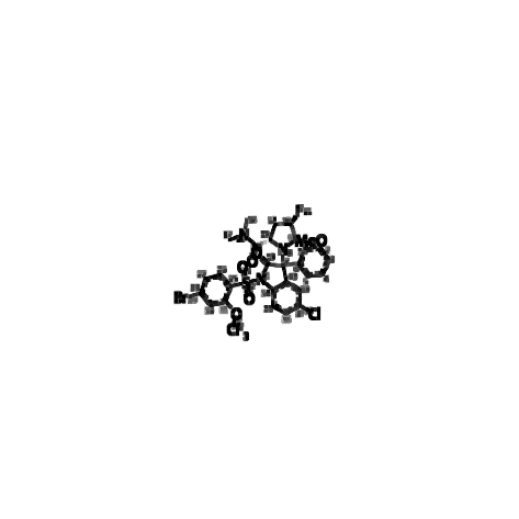 COc1ccccc1C1(N2C[C@H](F)C[C@H]2C(=O)N(C)C)C(=O)N(S(=O)(=O)c2ccc(Br)cc2OC(F)(F)F)c2ccc(Cl)cc21